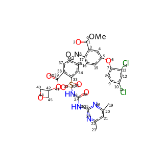 COC(=O)c1cc(Oc2ccc(Cl)cc2Cl)ccc1[N+](=O)[O-].Cc1cc(C)nc(NC(=O)NS(=O)(=O)c2ccccc2C(=O)OC2COC2)n1